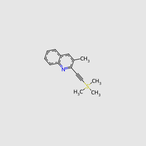 Cc1cc2ccccc2nc1C#CS(C)(C)C